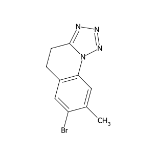 Cc1cc2c(cc1Br)CCc1nnnn1-2